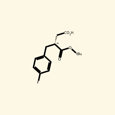 CC(C)(C)OC(=O)[C@@H](CC(=O)O)Cc1ccc(F)cc1